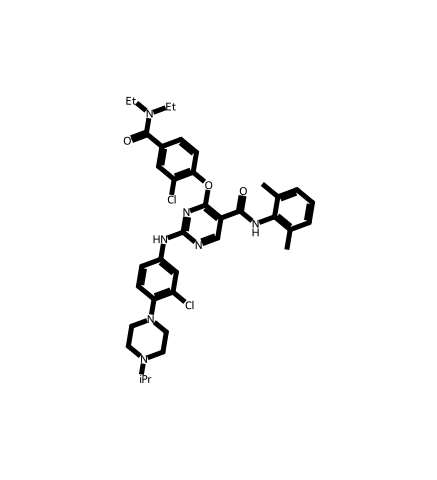 CCN(CC)C(=O)c1ccc(Oc2nc(Nc3ccc(N4CCN(C(C)C)CC4)c(Cl)c3)ncc2C(=O)Nc2c(C)cccc2C)c(Cl)c1